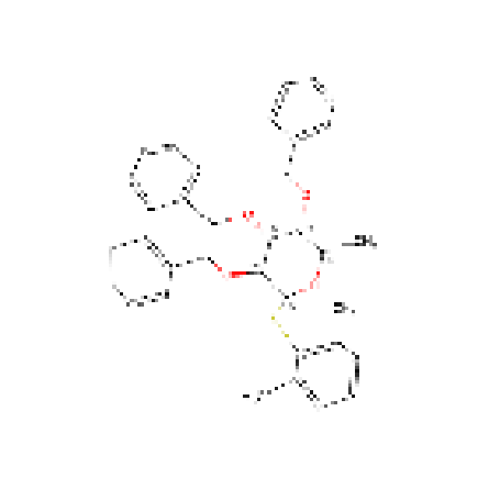 Cc1cccc(C)c1S[C@H]1O[C@@H](C)[C@@H](OCc2ccccc2)[C@@H](OCc2ccccc2)[C@@H]1OCc1ccccc1